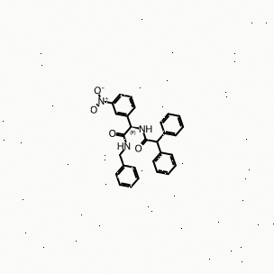 O=C(N[C@@H](C(=O)NCc1ccccc1)c1cccc([N+](=O)[O-])c1)C(c1ccccc1)c1ccccc1